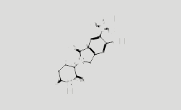 Cc1cc2c(cc1S(C)(=O)=O)C(=O)N(C1CCC(=O)NC1=O)C2